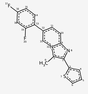 Cc1c(-c2cccs2)nc2ccc(-c3ccc(F)[c]c3F)cn12